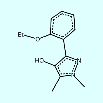 CCOc1ccccc1-c1nn(C)c(C)c1O